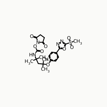 CC(C)(CC(C)(C)Oc1ccc(-c2nnc(S(C)(=O)=O)o2)cc1)NC(=O)ON1C(=O)CCC1=O